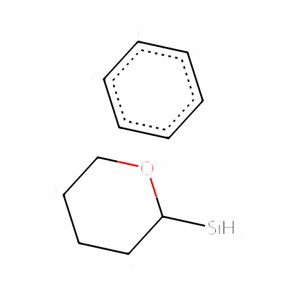 [SiH3]C1CCCCO1.c1ccccc1